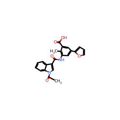 CC(=O)n1cc(C(=O)Nc2cc(-c3ccco3)cc(C(=O)O)c2C)c2ccccc21